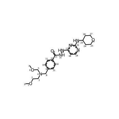 COCCN(COC)Cc1ccc(C(=O)NNc2ccnc(NC3CCOCC3)n2)cc1